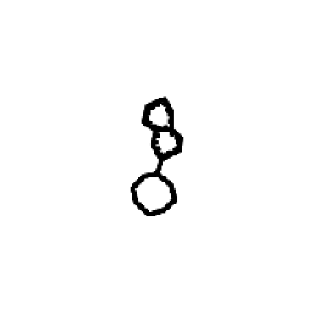 [c]1cccc2ccc(C3CCCCCCC3)cc12